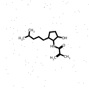 C=C(C)C(=O)NC1C(O)CCC1CCCC(C)C